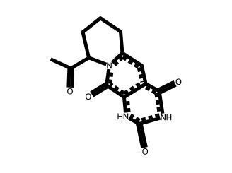 CC(=O)C1CCCc2cc3c(=O)[nH]c(=O)[nH]c3c(=O)n21